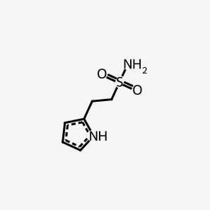 NS(=O)(=O)CCc1ccc[nH]1